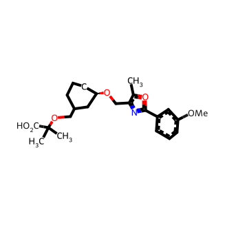 COc1cccc(-c2nc(CO[C@@H]3CCCC(COC(C)(C)C(=O)O)C3)c(C)o2)c1